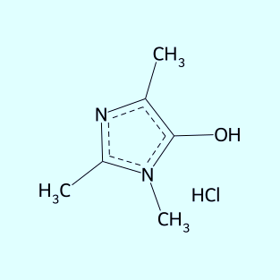 Cc1nc(C)n(C)c1O.Cl